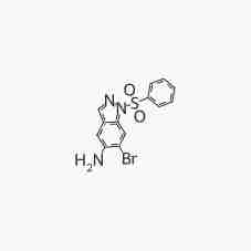 Nc1cc2cnn(S(=O)(=O)c3ccccc3)c2cc1Br